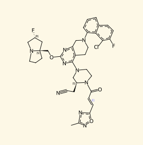 Cc1noc(/C=C/C(=O)N2CCN(c3nc(OC[C@@]45CCCN4C[C@H](F)C5)nc4c3CCN(c3cccc5ccc(F)c(Cl)c35)C4)C[C@@H]2CC#N)n1